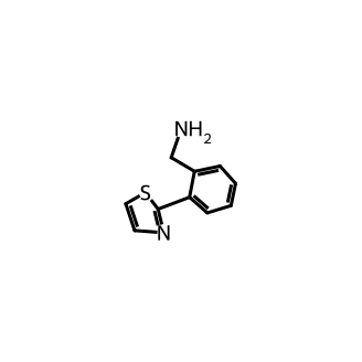 NCc1ccccc1-c1nccs1